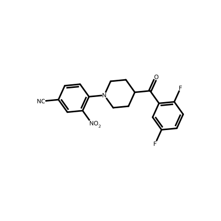 N#Cc1ccc(N2CCC(C(=O)c3cc(F)ccc3F)CC2)c([N+](=O)[O-])c1